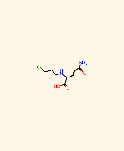 NC(=O)CC[C@H](NCCCCl)C(=O)O